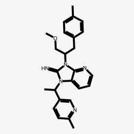 COCC(Cc1ccc(C)cc1)n1c(=N)n(C(C)c2ccc(C)nc2)c2cccnc21